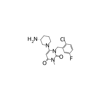 Cn1c(=O)cc(N2CCC[C@@H](N)C2)n(Cc2cc(F)ccc2Cl)c1=O